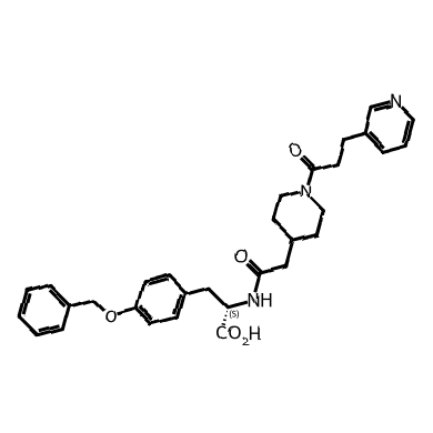 O=C(CC1CCN(C(=O)CCc2cccnc2)CC1)N[C@@H](Cc1ccc(OCc2ccccc2)cc1)C(=O)O